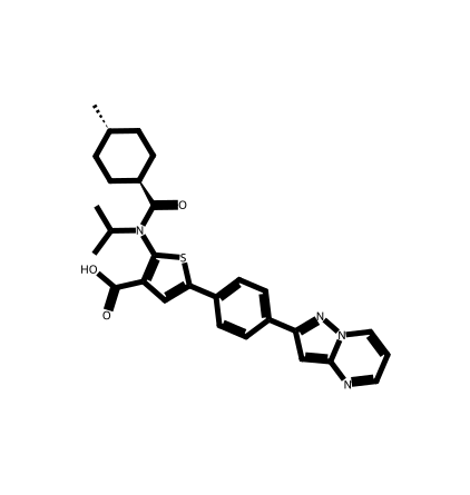 CC(C)N(c1sc(-c2ccc(-c3cc4ncccn4n3)cc2)cc1C(=O)O)C(=O)[C@H]1CC[C@H](C)CC1